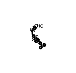 Cc1cc(OC(=O)CCCc2ccc(N3C(=O)c4cccc5c(-c6ccc(N(c7ccccc7)c7ccccc7)cc6)ccc(c45)C3=O)cc2)cc(C)c1C=O